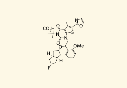 COc1ccccc1C(Cn1c(=O)n(C(C)(C)C(=O)O)c(=O)c2c(C)c(-c3ncco3)sc21)OC1C[C@H]2CC(F)C[C@H]2C1